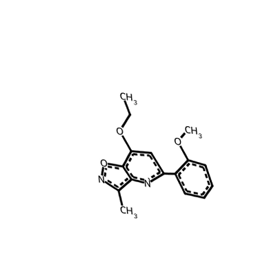 CCOc1cc(-c2ccccc2OC)nc2c(C)noc12